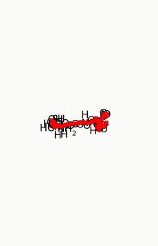 CCC(C)(C)C(=O)C(=O)N1CCCCC1C(=O)OC(CCc1ccc(OC)c(OC)c1)c1cccc(NC(=O)CCC(=O)NCCOCCOCCOCCC(=O)NC[C@@H](N)C(=O)N[C@H](CC(=O)O)C(=O)N[C@H](CS)C(=O)O)c1